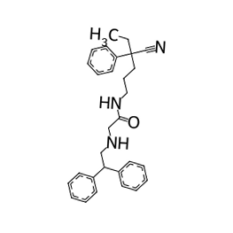 CCC(C#N)(CCCNC(=O)CNCC(c1ccccc1)c1ccccc1)c1ccccc1